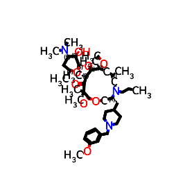 CCCN1C[C@H](C)C[C@@](C)(OC)[C@H](O[C@@H]2O[C@H](C)C[C@H](N(C)C)[C@H]2O)[C@@H](C)C(=O)C(C)(C)C(=O)OC[C@H]1CC1CCN(Cc2cccc(OC)c2)CC1